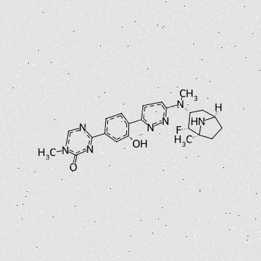 CN(c1ccc(-c2ccc(-c3ncn(C)c(=O)n3)cc2O)nn1)[C@@H]1C[C@H]2CC[C@](C)(N2)[C@@H]1F